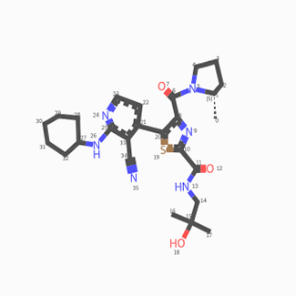 C[C@H]1CCCN1C(=O)c1nc(C(=O)NCC(C)(C)O)sc1-c1ccnc(NC2CCCCC2)c1C#N